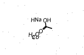 CC(=O)O.O.[Co].[NaH]